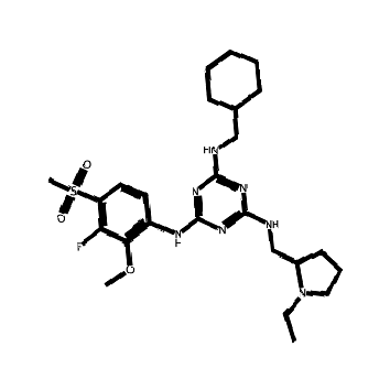 CCN1CCCC1CNc1nc(NCC2CCCCC2)nc(Nc2ccc(S(C)(=O)=O)c(F)c2OC)n1